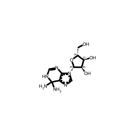 NC1(N)NC=Nc2c1ncn2[C@@H]1O[C@H](CO)[C@@H](O)[C@H]1O